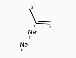 C=CC.[Na].[Na]